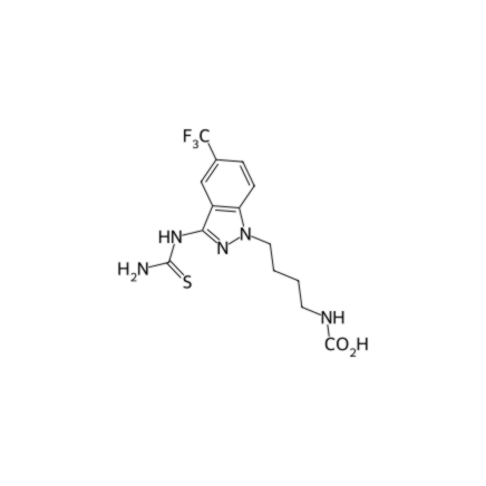 NC(=S)Nc1nn(CCCCNC(=O)O)c2ccc(C(F)(F)F)cc12